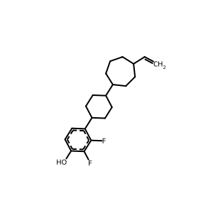 C=CC1CCCC(C2CCC(c3ccc(O)c(F)c3F)CC2)CC1